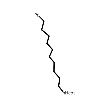 CCCCCCCCCCCCCCCC[CH]C(C)C